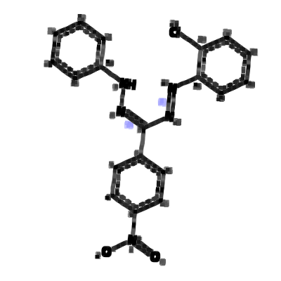 O=[N+]([O-])c1ccc(C(=N/Nc2ccccc2)/N=N/c2ccccc2Cl)cc1